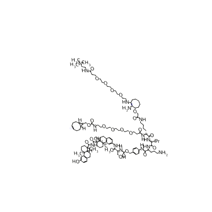 CC(C)[C@H](NC(=O)[C@@H](CCCCNC(=O)COC1CCCCC/C(NCCOCCOCCOCCOCCC(=O)NCC[N+](C)(C)C)=C\1N)NC(=O)CCOCCOCCOCCOCCNC(=O)OC[C@@H]1[C@@H]2CC/C=C\CC[C@@H]21)C(=O)N[C@@H](CCCN)C(=O)Nc1ccc(COC(=O)N[C@@H](CO)C(=O)Nc2ccc3c(c2)[C@@]2(C)CCC[C@](C)(C(=O)NC(=O)[C@@]4(C)CCC[C@]5(C)c6cc(O)ccc6CC[C@@H]45)[C@@H]2CC3)cc1